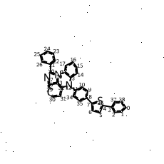 c1ccc(-c2ccc(-c3ccc(N4c5ccccc5-n5c(-c6ccccc6)nc6cccc4c65)cc3)s2)cc1